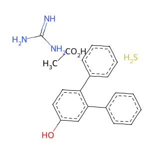 CC(=O)O.N=C(N)N.Oc1ccc(-c2ccccc2)c(-c2ccccc2)c1.S